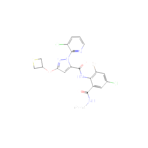 CCCC(C)NC(=O)c1cc(Cl)cc(Br)c1NC(=O)c1cc(OC2CSC2)nn1-c1ncccc1Cl